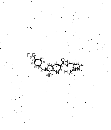 CC(C)[C@H]1c2ncc(C(=O)NCc3ccnn3C)cc2CN1Cc1ccc(C(F)(F)F)cc1